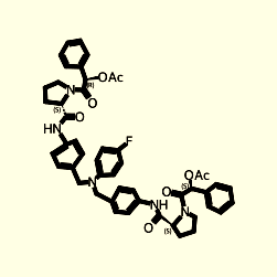 CC(=O)O[C@H](C(=O)N1CCC[C@H]1C(=O)Nc1ccc(CN(Cc2ccc(NC(=O)[C@@H]3CCCN3C(=O)[C@H](OC(C)=O)c3ccccc3)cc2)c2ccc(F)cc2)cc1)c1ccccc1